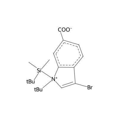 CC(C)(C)[N+]1([Si](C)(C)C(C)(C)C)C=C(Br)c2ccc(C(=O)[O-])cc21